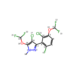 Cn1nc(-c2c(F)ccc(OC(F)F)c2Cl)c(Cl)c1OC(F)F